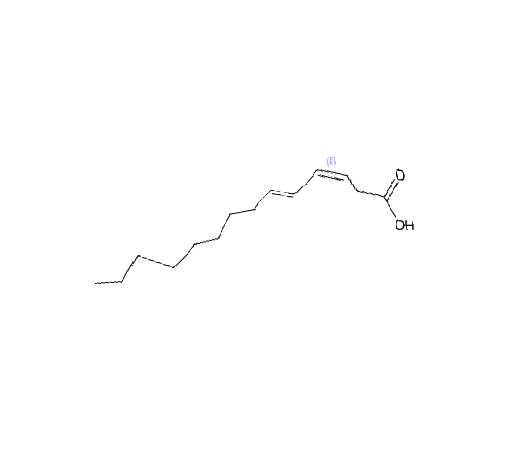 CCCCCCCCC=C/C=C\CC(=O)O